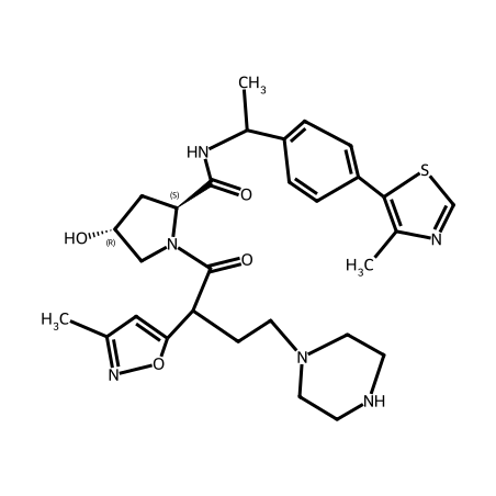 Cc1cc(C(CCN2CCNCC2)C(=O)N2C[C@H](O)C[C@H]2C(=O)NC(C)c2ccc(-c3scnc3C)cc2)on1